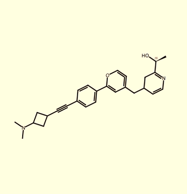 C[C@H](O)C1=NC=CC(CC2=C=COC(c3ccc(C#CC4CC(N(C)C)C4)cc3)=C2)C1